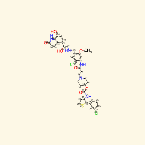 COc1cc(NC(=O)CCN2CCC(OC(=O)Nc3ccsc3-c3cccc(Cl)c3)CC2)c(Cl)cc1CNCC(O)c1ccc(O)c2[nH]c(=O)ccc12